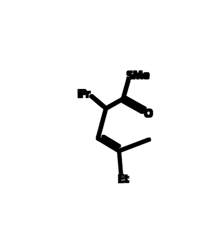 CCC(C)=CC(C(=O)SC)C(C)C